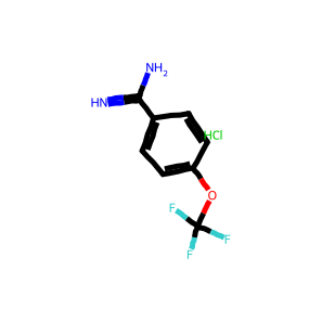 Cl.N=C(N)c1ccc(OC(F)(F)F)cc1